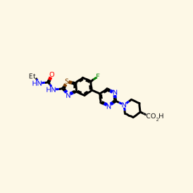 CCNC(=O)Nc1nc2cc(-c3cnc(N4CCC(C(=O)O)CC4)nc3)c(F)cc2s1